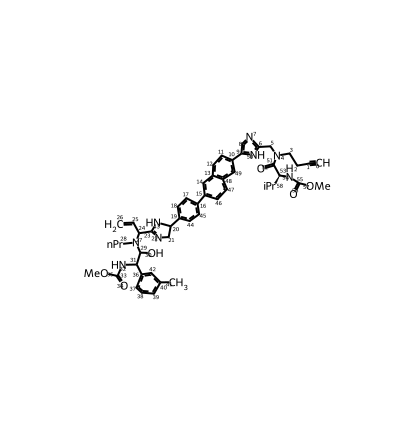 C#CCCN(Cc1ncc(-c2ccc3cc(-c4ccc(C5CN=C(C(C=C)N(CCC)C(O)C(NC(=O)OC)c6cccc(C)c6)N5)cc4)ccc3c2)[nH]1)C(=O)[C@@H](NC(=O)OC)C(C)C